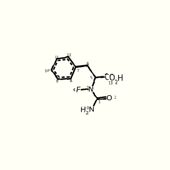 NC(=O)N(F)C(Cc1ccccc1)C(=O)O